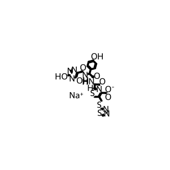 O=C([O-])C1=C(CSc2nncs2)CS[C@H]2C(NC(=O)C(NC(=O)c3nnc(O)nc3O)c3ccc(O)cc3)C(=O)N12.[Na+]